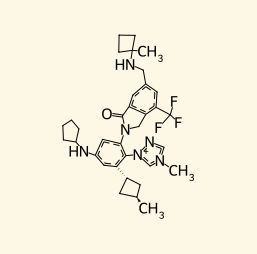 Cn1cn[n+](-c2c(N3Cc4c(cc(CNC5(C)CCC5)cc4C(F)(F)F)C3=O)cc(NC3CCCC3)cc2[C@H]2C[C@H](C)C2)c1